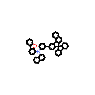 c1cc(-c2ccc3c(c2)-c2c(ccc4ccccc24)C32c3ccccc3-c3ccccc32)cc(N(c2cccc3ccccc23)c2cccc3c2oc2ccccc23)c1